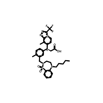 CCCCCN1CCN(Cc2cc([C@H](CC(=O)O)c3ccn4c(C(F)(F)F)nnc4c3C)ccc2C)S(=O)(=O)c2ccccc21